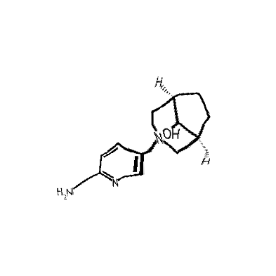 Nc1ccc(N2C[C@H]3CC[C@@H](C2)C3O)cn1